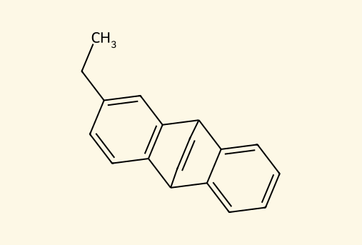 CCc1ccc2c(c1)C1C=CC2c2ccccc21